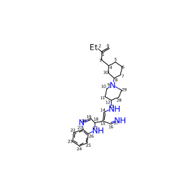 C=C(CC)CC1CCCC(N2CCC(N/C=C(\C=N)C3C=Nc4ccccc4N3)CC2)C1